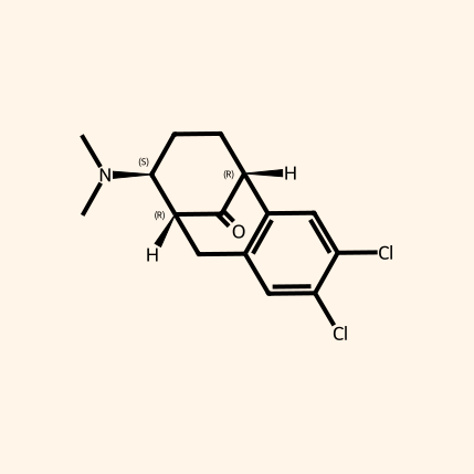 CN(C)[C@H]1CC[C@H]2C(=O)[C@@H]1Cc1cc(Cl)c(Cl)cc12